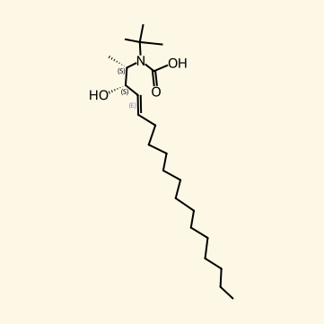 CCCCCCCCCCCCC/C=C/[C@H](O)[C@H](C)N(C(=O)O)C(C)(C)C